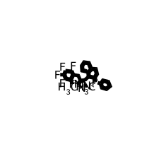 Cn1nnc(-c2c(P(C)c3ccccc3)ccc3ccccc23)c1Cc1c(F)c(F)c(F)c(F)c1F